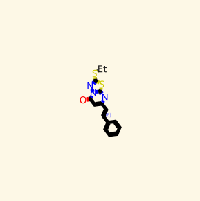 CCSc1nn2c(=O)cc(/C=C/c3ccccc3)nc2s1